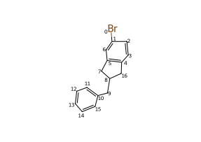 Brc1ccc2c(c1)CC(Cc1ccccc1)C2